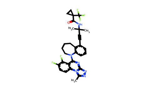 Cc1nnc2nc(N3CCCCc4c(C#CC(C)(C)NC(=O)C5(C(F)(F)F)CC5)cccc43)c3c(F)c(F)ccc3n12